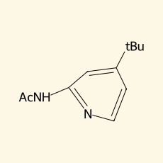 CC(=O)Nc1cc(C(C)(C)C)ccn1